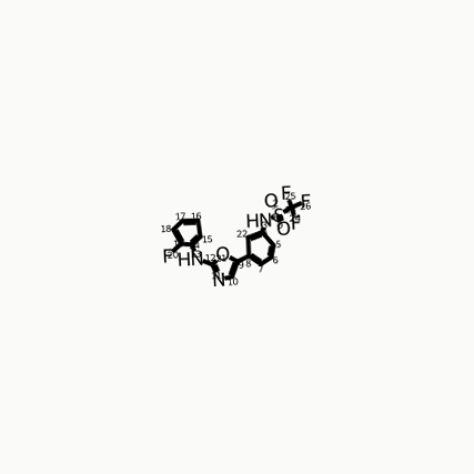 O=S(=O)(Nc1cccc(-c2cnc(Nc3ccccc3F)o2)c1)C(F)(F)F